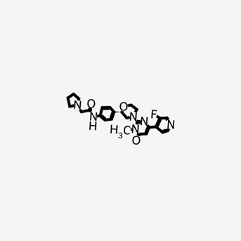 Cn1c(N2CCO[C@@H](c3ccc(NC(=O)CN4CCCC4)cc3)C2)nc(-c2ccncc2F)cc1=O